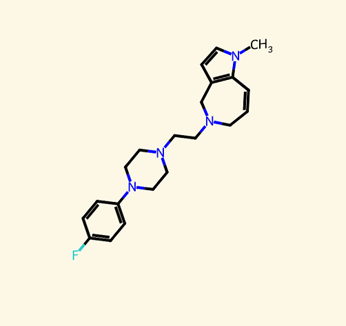 Cn1ccc2c1C=CCN(CCN1CCN(c3ccc(F)cc3)CC1)C2